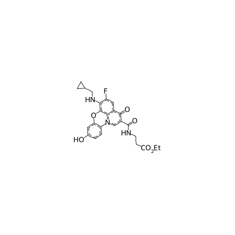 CCOC(=O)CCNC(=O)c1cn2c3c(c(NCC4CC4)c(F)cc3c1=O)Oc1cc(O)ccc1-2